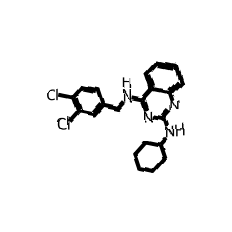 Clc1ccc(CNc2nc(NC3CCCCC3)nc3ccccc23)cc1Cl